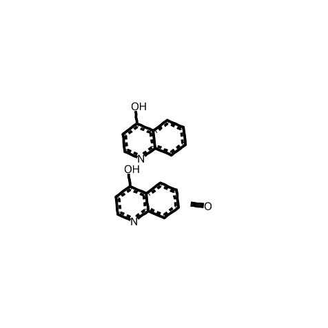 C=O.Oc1ccnc2ccccc12.Oc1ccnc2ccccc12